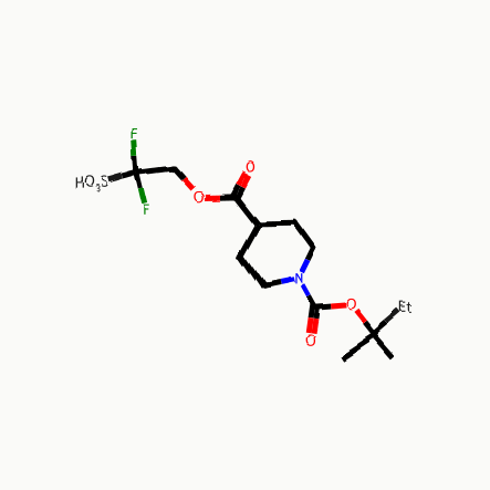 CCC(C)(C)OC(=O)N1CCC(C(=O)OCC(F)(F)S(=O)(=O)O)CC1